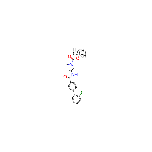 CC(C)(C)OC(=O)N1CCC(NC(=O)c2ccc(-c3ccccc3Cl)cc2)C1